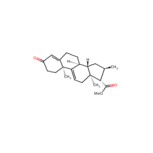 COC(=O)[C@H]1[C@H](C)C[C@H]2[C@@H]3CCC4=CC(=O)CC[C@]4(C)C3=CC[C@@]21C